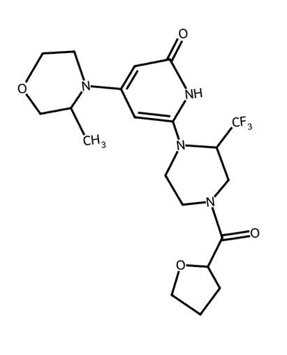 CC1COCCN1c1cc(N2CCN(C(=O)C3CCCO3)CC2C(F)(F)F)[nH]c(=O)c1